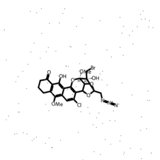 COc1c2c(c(O)c3c4c(c(Cl)cc13)C1OC3(CN=[N+]=[N-])OC1[C@@](OC)(O4)[C@@]3(O)CBr)C(=O)CCC2